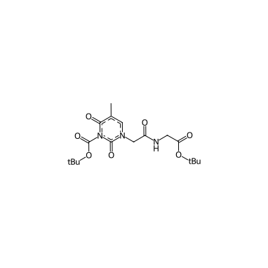 Cc1cn(CC(=O)NCC(=O)OC(C)(C)C)c(=O)n(C(=O)OC(C)(C)C)c1=O